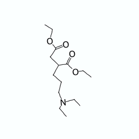 CCOC(=O)CC(CCCN(CC)CC)C(=O)OCC